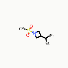 CCCS(=O)(=O)N1CC(C(CC)C(C)C)C1